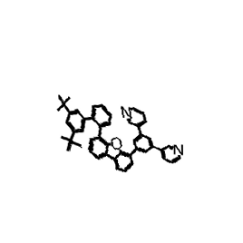 CC(C)(C)c1cc(-c2ccccc2-c2cccc3c2oc2c(-c4cc(-c5cccnc5)cc(-c5cccnc5)c4)cccc23)cc(C(C)(C)C)c1